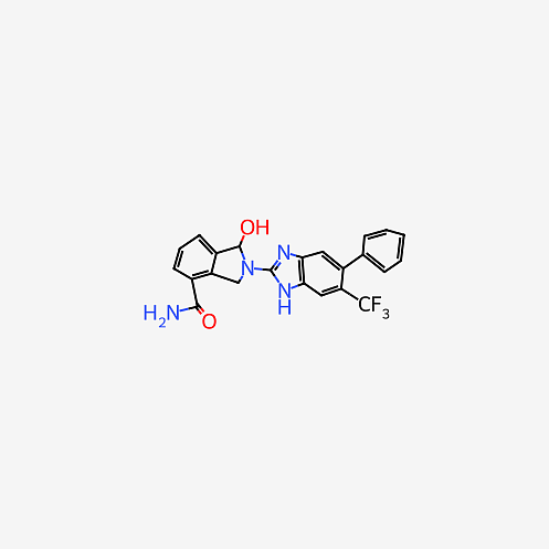 NC(=O)c1cccc2c1CN(c1nc3cc(-c4ccccc4)c(C(F)(F)F)cc3[nH]1)C2O